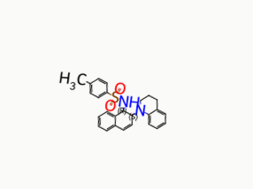 Cc1ccc(S(=O)(=O)N[C@@H]2c3ccccc3C=C[C@@H]2N2CCCc3ccccc32)cc1